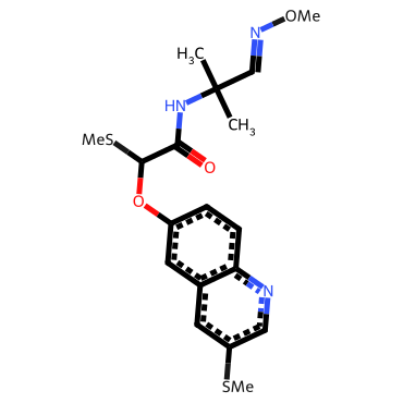 CO/N=C/C(C)(C)NC(=O)C(Oc1ccc2ncc(SC)cc2c1)SC